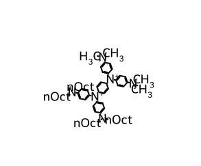 CCCCCCCCN(CCCCCCCC)c1ccc([N+](=C2C=CC(=[N+](c3ccc(N(C)C)cc3)c3ccc(N(C)C)cc3)C=C2)c2ccc(N(CCCCCCCC)CCCCCCCC)cc2)cc1